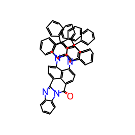 O=c1c2ccc(N3c4ccccc4C(c4ccccc4)(c4ccccc4)c4ccccc43)c3c(N4c5ccccc5C(c5ccccc5)(c5ccccc5)c5ccccc54)ccc(c32)c2nc3ccccc3n12